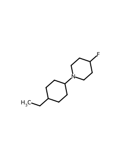 CCC1CCC(N2CCC(F)CC2)CC1